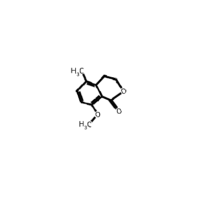 COc1ccc(C)c2c1C(=O)OCC2